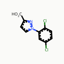 O=C(O)c1ccn(-c2cc(Cl)ccc2Cl)n1